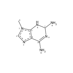 Cn1cnc2c1NC(N)N=C2N